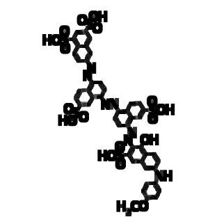 COc1ccc(Nc2ccc3c(O)c(N=Nc4ccc(N=Nc5ccc(N=Nc6ccc7c(S(=O)(=O)O)cc(S(=O)(=O)O)cc7c6)c6ccc(S(=O)(=O)O)cc56)c5ccc(S(=O)(=O)O)cc45)c(S(=O)(=O)O)cc3c2)cc1